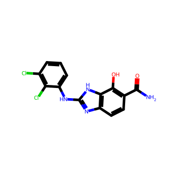 NC(=O)c1ccc2nc(Nc3cccc(Cl)c3Cl)[nH]c2c1O